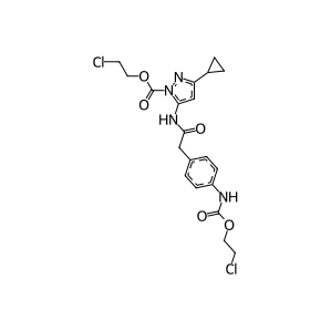 O=C(Cc1ccc(NC(=O)OCCCl)cc1)Nc1cc(C2CC2)nn1C(=O)OCCCl